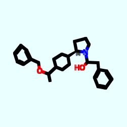 CC(OCc1ccccc1)C1CCC([C@H]2CCCN2C(O)Cc2ccccc2)CC1